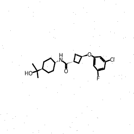 CC(C)(O)[C@H]1CC[C@H](NC(=O)[C@H]2C[C@H](Oc3cc(F)cc(Cl)c3)C2)CC1